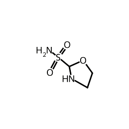 NS(=O)(=O)C1NCCO1